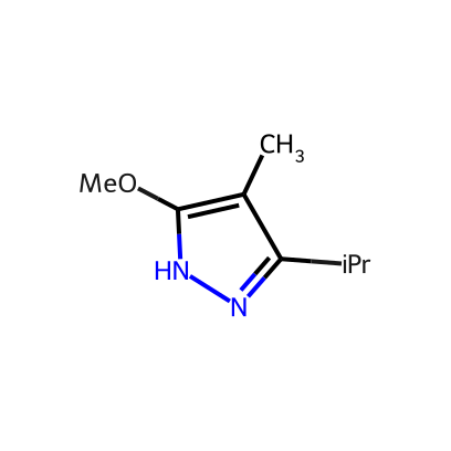 COc1[nH]nc(C(C)C)c1C